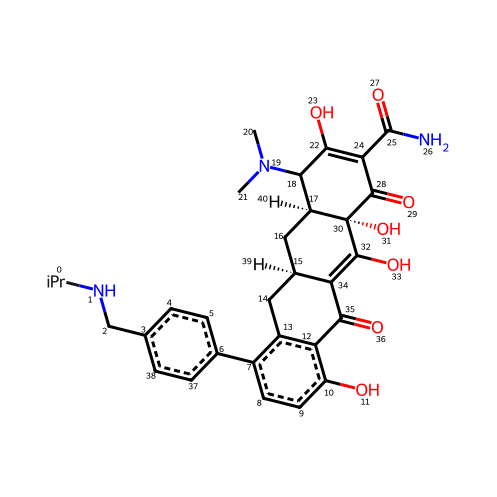 CC(C)NCc1ccc(-c2ccc(O)c3c2C[C@H]2C[C@H]4C(N(C)C)C(O)=C(C(N)=O)C(=O)[C@@]4(O)C(O)=C2C3=O)cc1